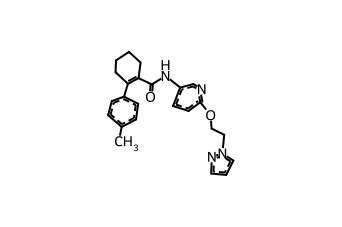 Cc1ccc(C2=C(C(=O)Nc3ccc(OCCn4cccn4)nc3)CCCC2)cc1